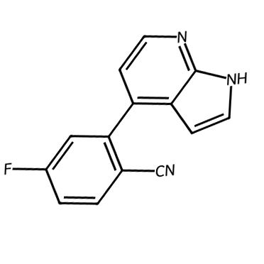 N#Cc1ccc(F)cc1-c1ccnc2[nH]ccc12